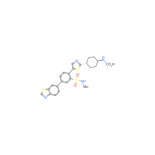 CC(C)(C)NS(=O)(=O)c1cc(-c2ccc3ncsc3c2)ccc1-c1cnc([C@H]2CC[C@H](NC(=O)O)CC2)s1